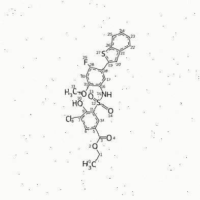 CCOC(=O)c1cc(Cl)c(O)c(S(=O)(=O)Nc2cc(-c3cc4ccccc4s3)c(F)cc2OC)c1